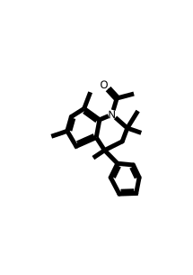 CC(=O)N1c2c(C)cc(C)cc2C(C)(c2ccccc2)CC1(C)C